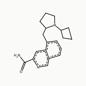 NC(=O)c1cc2c(CC3CCCN3C3CCC3)cccc2cn1